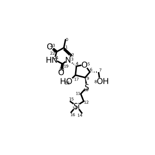 Cc1cn([C@@H]2O[C@H](CO)[C@@H](SCC[Si](C)(C)C)C2O)c(=O)[nH]c1=O